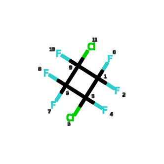 FC1(F)C(F)(Cl)C(F)(F)C1(F)Cl